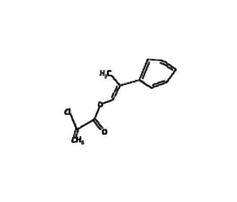 C=C(Cl)C(=O)OC=C(C)c1ccccc1